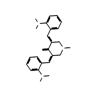 CCN1C/C(=C/c2ccccc2N(CC)CC)C(=O)/C(=C/c2ccccc2N(CC)CC)C1